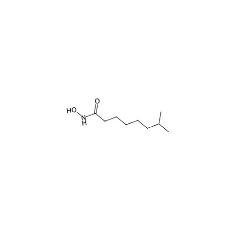 CC(C)CCCCCC(=O)NO